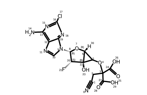 N#CCC(OC1[C@H]2O[C@@H](n3cnc4c(N)nc(Cl)nc43)[C@@H](F)[C@@]12O)(C(=O)O)C(=O)O